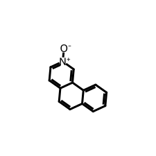 [O-][n+]1ccc2ccc3ccccc3c2c1